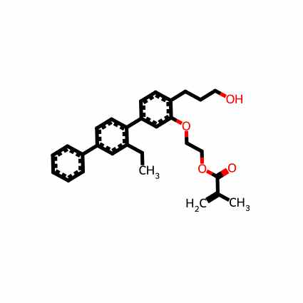 C=C(C)C(=O)OCCOc1cc(-c2ccc(-c3ccccc3)cc2CC)ccc1CCCO